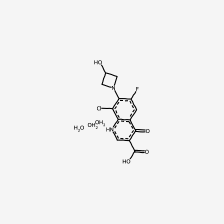 O.O.O.O=C(O)c1c[nH]c2c(Cl)c(N3CC(O)C3)c(F)cc2c1=O